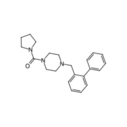 O=C(N1CCCC1)N1CCN(Cc2ccccc2-c2ccccc2)CC1